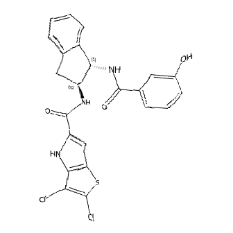 O=C(N[C@H]1c2ccccc2C[C@@H]1NC(=O)c1cc2sc(Cl)c(Cl)c2[nH]1)c1cccc(O)c1